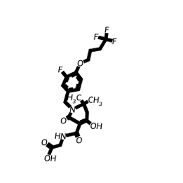 CC1(C)CC(O)=C(C(=O)NCC(=O)O)C(=O)N1Cc1ccc(OCCCC(F)(F)F)c(F)c1